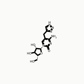 Nc1nc(=O)n([C@@H]2O[C@H](CO)C(O)[C@@H]2O)cc1Cc1c[nH]nn1